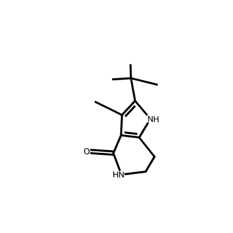 Cc1c(C(C)(C)C)[nH]c2c1C(=O)NCC2